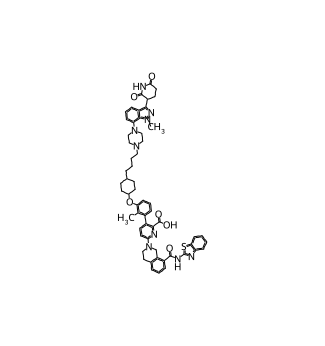 Cc1c(OC2CCC(CCCCN3CCN(c4cccc5c(C6CCC(=O)NC6=O)nn(C)c45)CC3)CC2)cccc1-c1ccc(N2CCc3cccc(C(=O)Nc4nc5ccccc5s4)c3C2)nc1C(=O)O